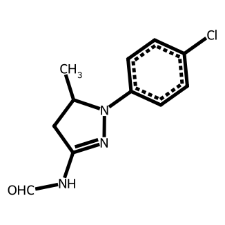 CC1CC(NC=O)=NN1c1ccc(Cl)cc1